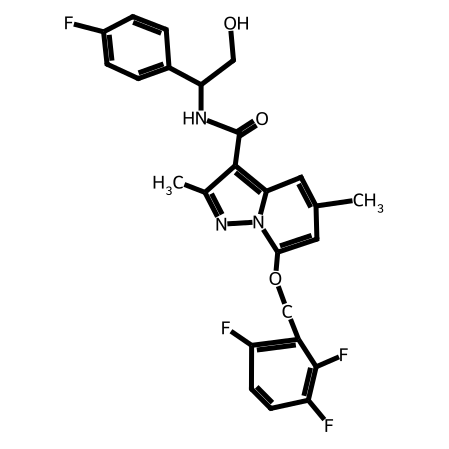 Cc1cc(OCc2c(F)ccc(F)c2F)n2nc(C)c(C(=O)NC(CO)c3ccc(F)cc3)c2c1